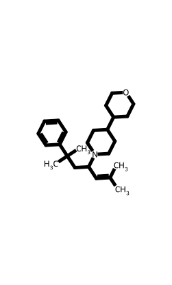 CC(C)=CC(CC(C)(C)c1ccccc1)N1CCC(C2CCOCC2)CC1